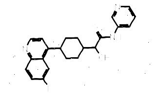 CC(C(=O)Nc1cccnc1)C1CCC(c2ccnc3ccc(F)cc23)CC1